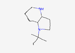 CC(C)(C)N1CCC2NCCCC21